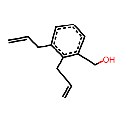 C=CCc1cccc(CO)c1CC=C